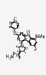 CNc1cc(F)cc2c1[nH]c1nc(Oc3cnc(C)nc3)nc(N3CC/C(=C(\F)CN)C3)c12